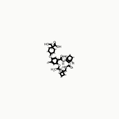 CC(C)Oc1cc(F)c(OC2CCC(CO)(C(=O)O)CC2)cc1C(=O)N[C@@H]1[C@H]2CC[C@H](C2)[C@@H]1C(=O)NCC1(C)CCC1